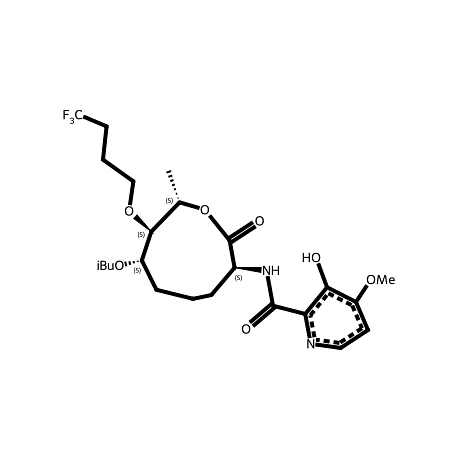 COc1ccnc(C(=O)N[C@H]2CCC[C@H](OCC(C)C)[C@@H](OCCCC(F)(F)F)[C@H](C)OC2=O)c1O